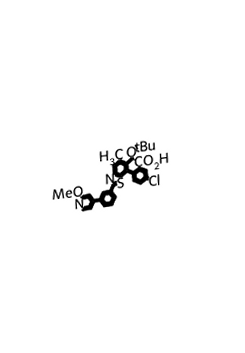 COc1cc(-c2cccc(-c3nc4cc(C)c([C@H](OC(C)(C)C)C(=O)O)c(-c5ccc(Cl)cc5)c4s3)c2)ccn1